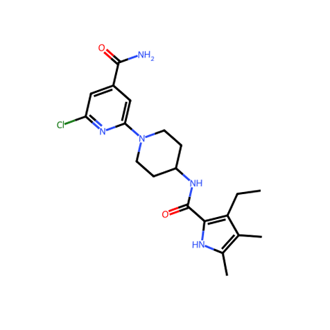 CCc1c(C(=O)NC2CCN(c3cc(C(N)=O)cc(Cl)n3)CC2)[nH]c(C)c1C